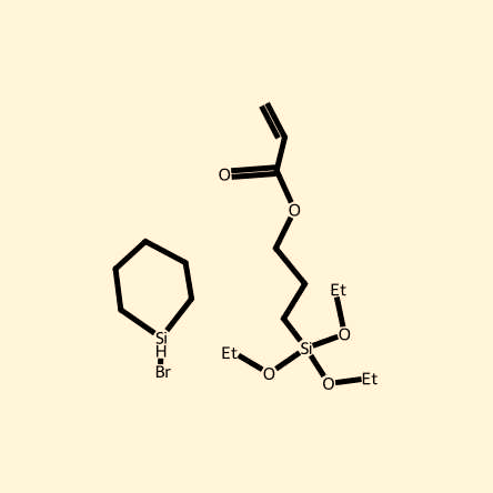 Br[SiH]1CCCCC1.C=CC(=O)OCCC[Si](OCC)(OCC)OCC